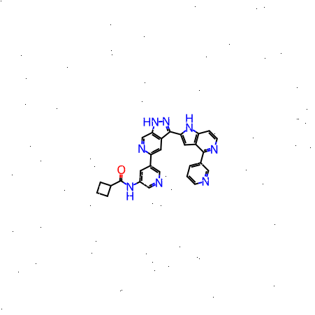 O=C(Nc1cncc(-c2cc3c(-c4cc5c(-c6cccnc6)nccc5[nH]4)n[nH]c3cn2)c1)C1CCC1